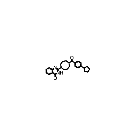 O=C(c1ccc(C2CCCC2)cc1)C1CCCC(c2nc3ccccc3c(=O)[nH]2)CCC1